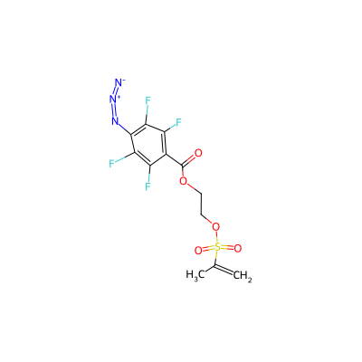 C=C(C)S(=O)(=O)OCCOC(=O)c1c(F)c(F)c(N=[N+]=[N-])c(F)c1F